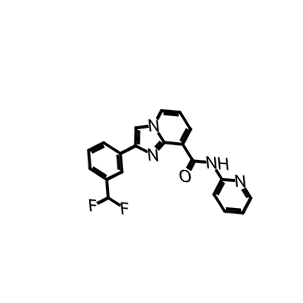 O=C(Nc1ccccn1)c1cccn2cc(-c3cccc(C(F)F)c3)nc12